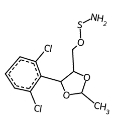 CC1OC(COSN)C(c2c(Cl)cccc2Cl)O1